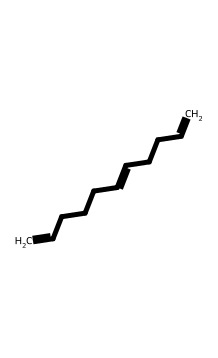 C=CCCC=CCCCC=C